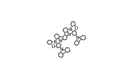 c1ccc2c(c1)Oc1cc(-n3c4ccccc4c4ccccc43)cc3c1B2c1cccc2c4c5c6cccc7c6n(c5ccc4n-3c12)-c1cc(-n2c3ccccc3c3ccccc32)cc2c1B7c1ccccc1O2